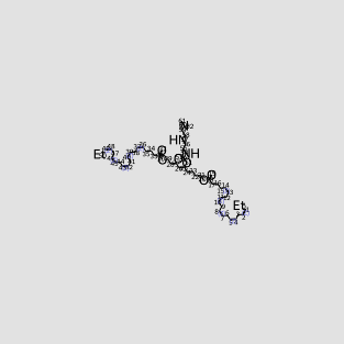 CC/C=C\C/C=C\C/C=C\C/C=C\C/C=C\CCCC(=O)OCCCCC(CCCCOC(=O)CCC/C=C\C/C=C\C/C=C\C/C=C\C/C=C\CC)OC(=O)NCCNCCN(C)C